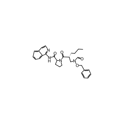 CCCC[C@H](CN(C=O)OCc1ccccc1)C(=O)N1CCCC1C(=O)Nc1nccc2ccccc12